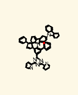 c1ccc(-c2ccc(-c3cc(-c4nc(-c5ccccn5)nc(-c5ccccn5)n4)cc(-c4ccccc4)c3-n3c4ccccc4c4cc(-n5c6ccccc6c6ccccc65)ccc43)cc2)cc1